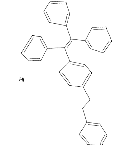 I.c1ccc(C(=C(c2ccccc2)c2ccc(CCc3ccncc3)cc2)c2ccccc2)cc1